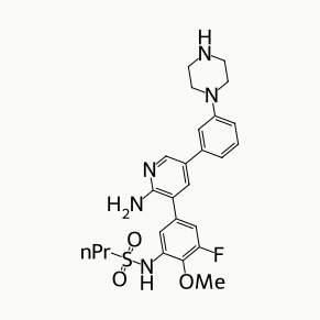 CCCS(=O)(=O)Nc1cc(-c2cc(-c3cccc(N4CCNCC4)c3)cnc2N)cc(F)c1OC